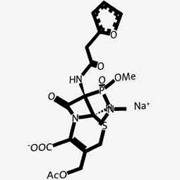 COP(=O)(N(C)C)[C@@]1(NC(=O)Cc2ccco2)C(=O)N2C(C(=O)[O-])=C(COC(C)=O)CS[C@@H]21.[Na+]